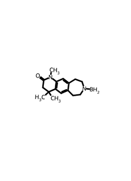 BN1CCc2cc3c(cc2CC1)C(C)(C)CC(=O)N3C